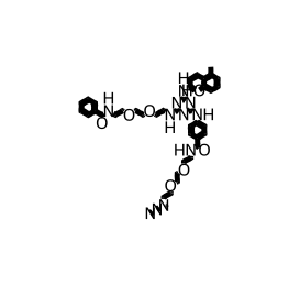 C=C(/C=C\c1c(C)cccc1O)Nc1nc(NCCOCCOCCNC(=O)c2ccccc2)nc(Nc2ccc(C(=O)NCCOCCOCCN=[N+]=[N-])cc2)n1